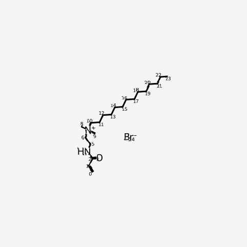 C=CC(=O)NCC[N+](C)(C)CCCCCCCCCCCCCC.[Br-]